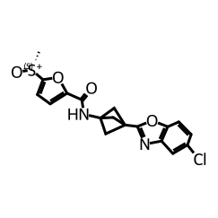 C[S@@+]([O-])c1ccc(C(=O)NC23CC(c4nc5cc(Cl)ccc5o4)(C2)C3)o1